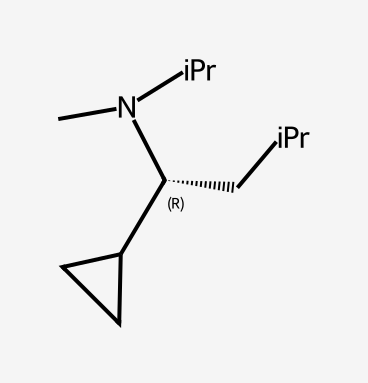 CC(C)C[C@H](C1CC1)N(C)C(C)C